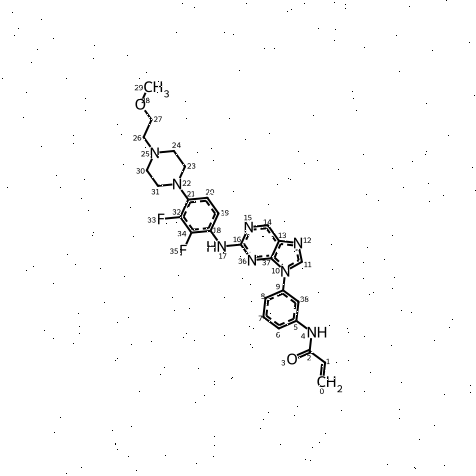 C=CC(=O)Nc1cccc(-n2cnc3cnc(Nc4ccc(N5CCN(CCOC)CC5)c(F)c4F)nc32)c1